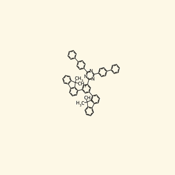 CC1(C)c2ccccc2-c2cccc(-c3cc(-c4nc(-c5ccc(-c6ccccc6)cc5)nc(-c5ccc(-c6ccccc6)cc5)n4)cc(-c4cccc5c4C(C)(C)c4ccccc4-5)c3)c21